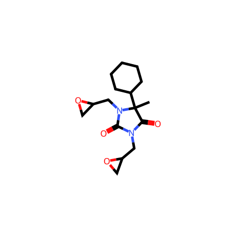 CC1(C2CCCCC2)C(=O)N(CC2CO2)C(=O)N1CC1CO1